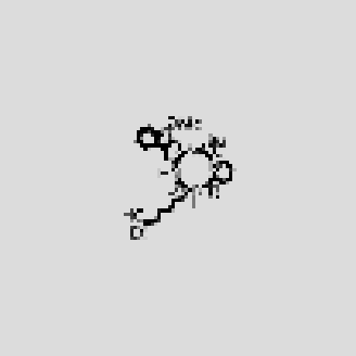 CCC(C)[C@@H]1NC(=O)[C@H](Cc2cn(OC)c3ccccc23)NC(=O)[C@H](CCCCC[C@@H](O)CC)NC(=O)[C@H]2CCCCN2C1=O